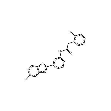 Cc1ccc2oc(-c3cccc(NC(=O)Cc4ccccc4Cl)c3)nc2c1